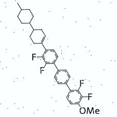 COc1ccc(-c2ccc(-c3ccc(C4=CCC(C5CCC(C)CC5)CC4)c(F)c3F)cc2)c(F)c1F